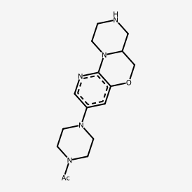 CC(=O)N1CCN(c2cnc3c(c2)OCC2CNCCN32)CC1